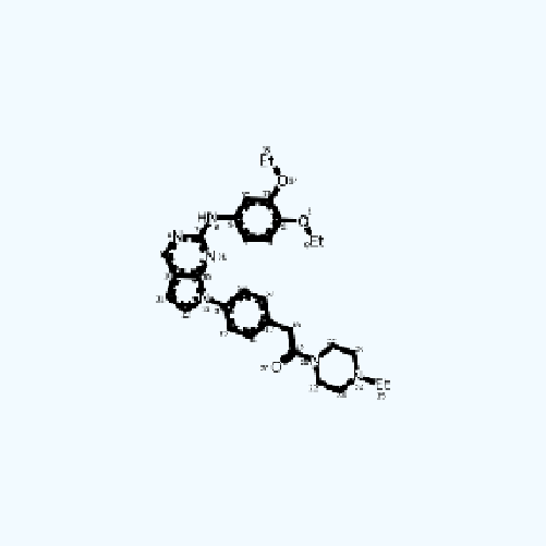 CCOc1ccc(Nc2ncc3ccn(-c4ccc(CC(=O)N5CCN(CC)CC5)cc4)c3n2)cc1OCC